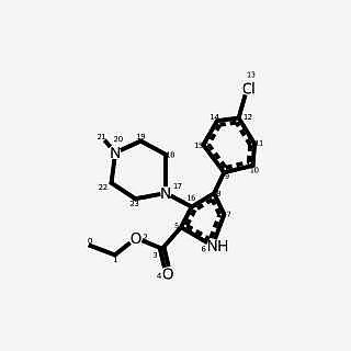 CCOC(=O)c1[nH]cc(-c2ccc(Cl)cc2)c1N1CCN(C)CC1